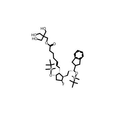 CC(C)(C)[Si](C)(C)O[C@H]1C[C@H](F)[C@H](CC[C@@H](O[Si](C)(C)C(C)(C)C)C2Cc3ccccc3C2)[C@H]1CC=CCCCC(=O)OCC(CO)(CO)CO